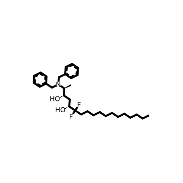 CCCCCCCCCCCCC(F)(F)[C@H](O)C[C@H](O)[C@H](C)N(Cc1ccccc1)Cc1ccccc1